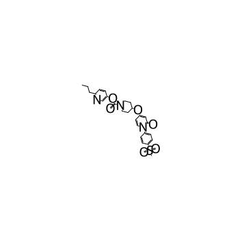 CCCc1ccc(OC(=O)N2CCC(Oc3ccn(-c4ccc(S(C)(=O)=O)cc4)c(=O)c3)CC2)cn1